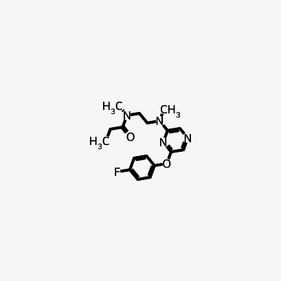 CCC(=O)N(C)CCN(C)c1cncc(Oc2ccc(F)cc2)n1